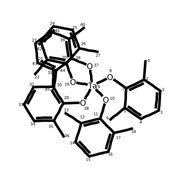 Cc1cccc(C)c1[O][Ta]([O]c1c(C)cccc1C)([O]c1c(C)cccc1C)([O]c1c(C)cccc1C)[O]c1c(C)cccc1C